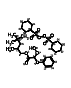 CC(COC(=O)C(OO)Oc1ccccc1)CC(C)(C)C.O=S(=O)(OOS(=O)(=O)C1CCCCC1)C1CCCCC1